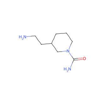 NCCC1CCCN(C(N)=O)C1